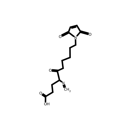 C=NC(CCC(=O)O)C(=O)CCCCCN1C(=O)C=CC1=O